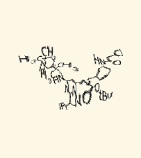 CC(C)c1cnn2c(N(Cc3cccc(NC(=O)CCl)c3)C(=O)OC(C)(C)C)cc(NCC(C)(C)[C@@H]3CCC(C)(C)NC3)nc12